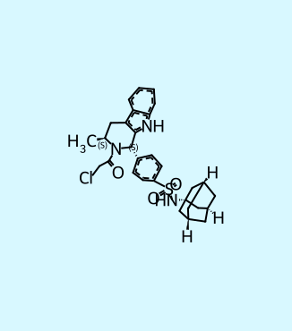 C[C@H]1Cc2c([nH]c3ccccc23)[C@H](c2ccc(S(=O)(=O)N[C@]34C[C@H]5C[C@H](C[C@H](C5)C3)C4)cc2)N1C(=O)CCl